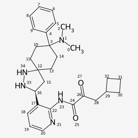 CN(C)C1(c2ccccc2)CCC2(CC1)C[C@@H](c1cccnc1NC(=O)C(=O)CC1CCC1)NN2